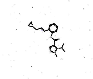 CC(C)c1c(C(=O)Nc2ccccc2/C=C/CC2CC2)cnn1C